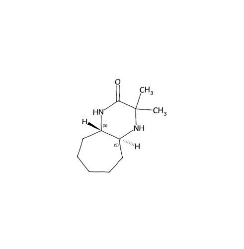 CC1(C)N[C@H]2CCCCC[C@@H]2NC1=O